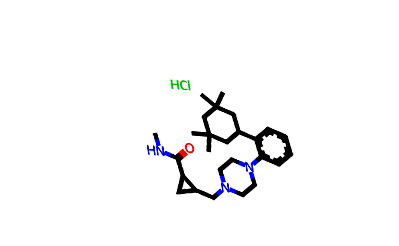 CNC(=O)C1CC1CN1CCN(c2ccccc2C2CC(C)(C)CC(C)(C)C2)CC1.Cl